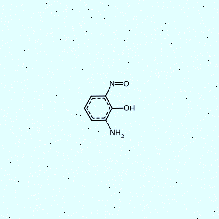 Nc1cccc(N=O)c1O